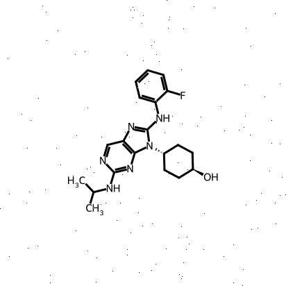 CC(C)Nc1ncc2nc(Nc3ccccc3F)n([C@H]3CC[C@H](O)CC3)c2n1